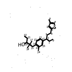 CCC(CCc1cc(C)cs1)c1ccc(CC(C)(C)C(O)CC)c(C)c1